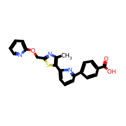 Cc1nc(COc2ccccn2)sc1-c1cccc(-c2ccc(C(=O)O)cc2)n1